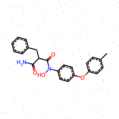 Cc1ccc(Oc2ccc(N(O)C(=O)C(Cc3ccccc3)C(N)=O)cc2)cc1